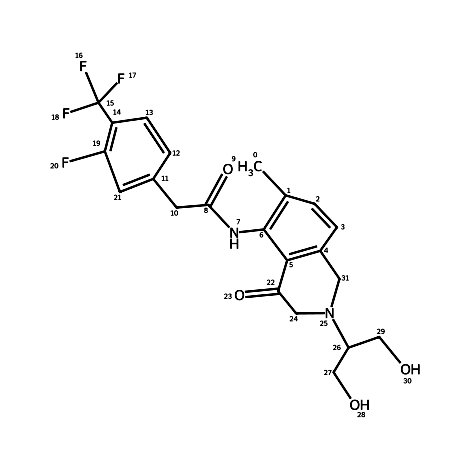 Cc1ccc2c(c1NC(=O)Cc1ccc(C(F)(F)F)c(F)c1)C(=O)CN(C(CO)CO)C2